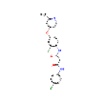 O=C(CC(=O)Nc1ccc(Oc2ccnc(C(=O)O)c2)cc1F)Nc1ccc(F)cc1